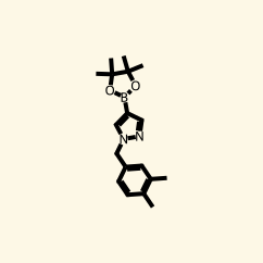 Cc1ccc(Cn2cc(B3OC(C)(C)C(C)(C)O3)cn2)cc1C